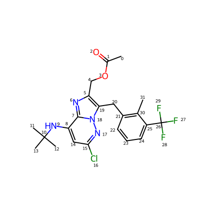 CC(=O)OCc1nc2c(NC(C)(C)C)cc(Cl)nn2c1Cc1cccc(C(F)(F)F)c1C